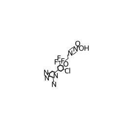 Cn1cnc2c(C#N)nc(-c3cc(Cl)c(OCCCN4CCN(C(=O)O)CC4)c(C(F)(F)F)c3)cc21